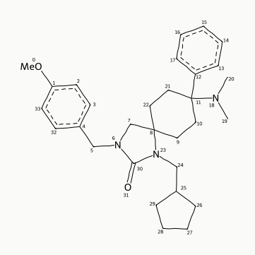 COc1ccc(CN2CC3(CCC(c4ccccc4)(N(C)C)CC3)N(CC3CCCC3)C2=O)cc1